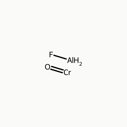 [F][AlH2].[O]=[Cr]